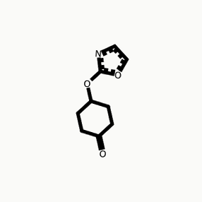 O=C1CCC(Oc2ncco2)CC1